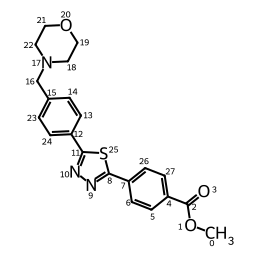 COC(=O)c1ccc(-c2nnc(-c3ccc(CN4CCOCC4)cc3)s2)cc1